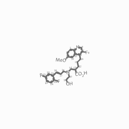 COc1ccc2ncc(F)c(CCCC(CN(C/C=C/c3cc(F)ccc3F)CCO)C(=O)O)c2c1